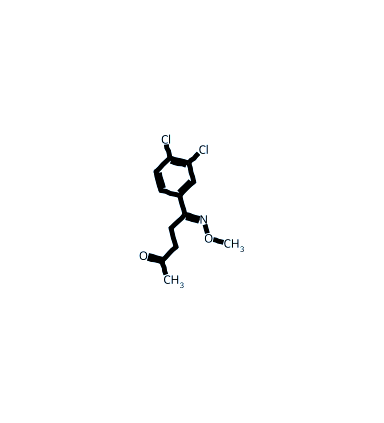 CON=C(CCC(C)=O)c1ccc(Cl)c(Cl)c1